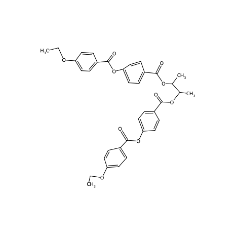 CCOc1ccc(C(=O)Oc2ccc(C(=O)OC(C)C(C)OC(=O)c3ccc(OC(=O)c4ccc(OCC)cc4)cc3)cc2)cc1